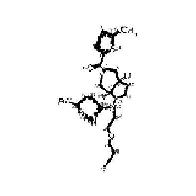 Cc1ccc(C(=O)N2C[C@@H]3CC[C@@H](N(CCOCCF)c4ccc(Br)nn4)[C@@H]3C2)s1